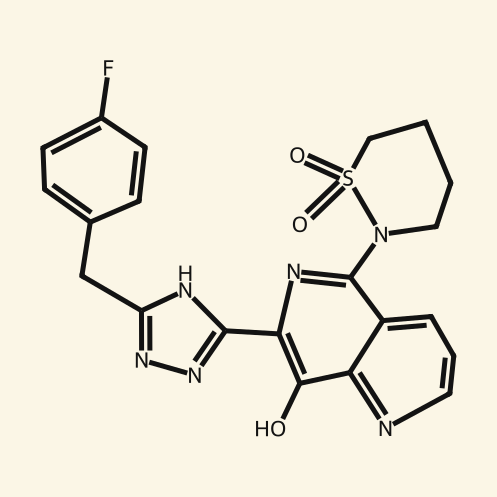 O=S1(=O)CCCCN1c1nc(-c2nnc(Cc3ccc(F)cc3)[nH]2)c(O)c2ncccc12